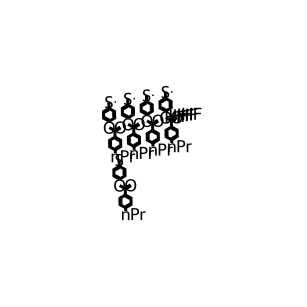 CCCc1ccc(C(=O)Oc2ccc([S])cc2)cc1.CCCc1ccc(C(=O)Oc2ccc([S])cc2)cc1.CCCc1ccc(C(=O)Oc2ccc([S])cc2)cc1.CCCc1ccc(C(=O)Oc2ccc([S])cc2)cc1.CCCc1ccc(C(=O)Oc2ccc([S])cc2)cc1.F.F.F.F.F